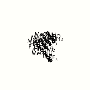 COCCNc1ccc(C(=O)Nc2cccc(OC)c2)cc1C(F)(F)F.COc1cccc(NC(=O)c2ccc(N3CCC3)c(C(F)(F)F)c2)c1.COc1cccc(NC(=O)c2ccc(N3CCCC3)c(C(F)(F)F)c2)c1.COc1cccc(NC(=O)c2ccc(N3CCCCC3)c(C(F)(F)F)c2)c1.COc1cccc(NC(=O)c2ccc(Nc3ccccc3)c([N+](=O)[O-])c2)c1